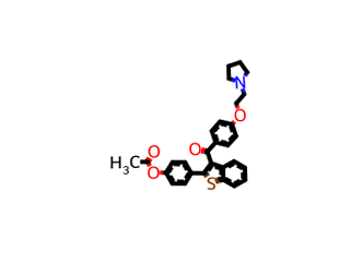 CC(=O)Oc1ccc(-c2sc3ccccc3c2C(=O)c2ccc(OCCN3CCCC3)cc2)cc1